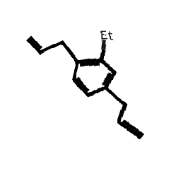 [CH2]Cc1cc(CC=C)ccc1CC=C